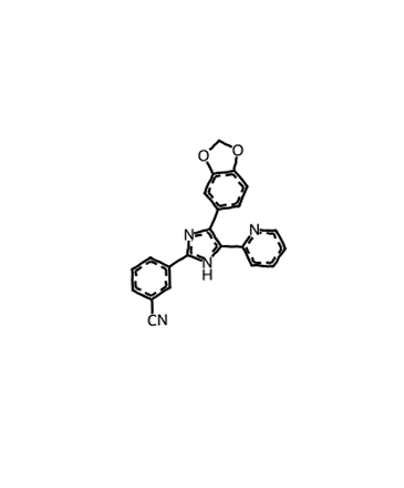 N#Cc1cccc(-c2nc(-c3ccc4c(c3)OCO4)c(-c3ccccn3)[nH]2)c1